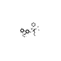 CCCCc1c(C(OC)OC)n(C2CCCCC2)c(=O)n1Cc1ccc(-c2ccccc2)c(-c2nnn[nH]2)c1